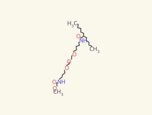 CCCCCCC(CCCCCC)C(=O)NCCCCCOCCOCCOCCCCCNC(=O)COC